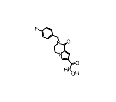 O=C(NO)c1cc2n(c1)CCN(Cc1ccc(F)cc1)C2=O